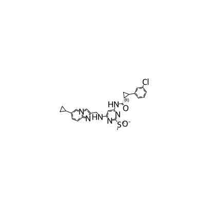 C[S+]([O-])c1nc(NCc2cn3cc(C4CC4)ccc3n2)cc(NC(=O)[C@@H]2CC2c2cccc(Cl)c2)n1